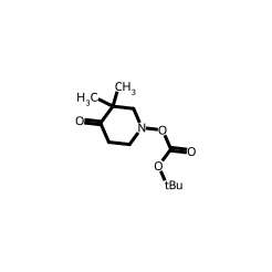 CC(C)(C)OC(=O)ON1CCC(=O)C(C)(C)C1